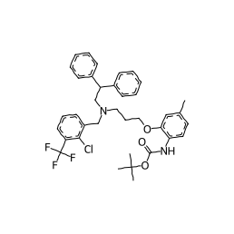 Cc1ccc(NC(=O)OC(C)(C)C)c(OCCCN(Cc2cccc(C(F)(F)F)c2Cl)CC(c2ccccc2)c2ccccc2)c1